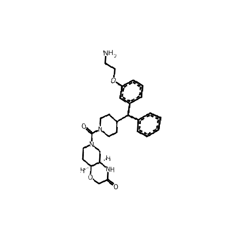 NCCOc1cccc(C(c2ccccc2)C2CCN(C(=O)N3CC[C@@H]4OCC(=O)N[C@@H]4C3)CC2)c1